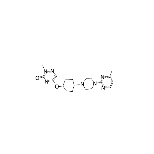 Cc1ccnc(N2CCN([C@H]3CC[C@H](Oc4cnn(C)c(=O)n4)CC3)CC2)n1